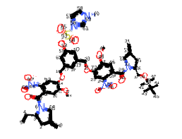 C=C1C[C@@H](CC)N(C(=O)c2cc(OC)c(OCc3cc(COc4cc([N+](=O)[O-])c(C(=O)N5CC(=C)C[C@H]5CO[Si](C)(C)C(C)(C)C)cc4OC)cc(OS(=O)(=O)n4cc[n+](C)c4)c3)cc2[N+](=O)[O-])C1